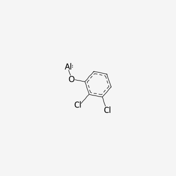 [Al][O]c1cccc(Cl)c1Cl